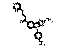 Cn1nc2c3cc(C(=O)CCCc4ccncn4)ccc3n(-c3ccc(C(F)(F)F)cc3)c2n1